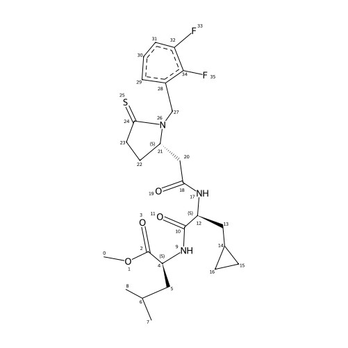 COC(=O)[C@H](CC(C)C)NC(=O)[C@H](CC1CC1)NC(=O)C[C@@H]1CCC(=S)N1Cc1cccc(F)c1F